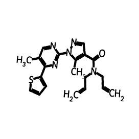 C=CCN(CC=C)C(=O)c1cnn(-c2ncc(C)c(-c3cccs3)n2)c1C